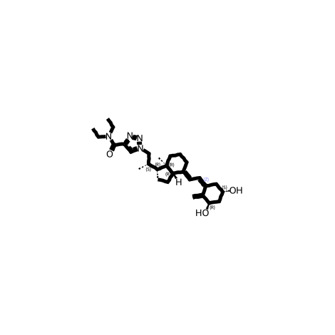 C=C1/C(=C\C=C2CCC[C@]3(C)[C@@H]([C@H](C)Cn4cc(C(=O)N(CC)CC)nn4)CC[C@@H]23)C[C@H](O)C[C@H]1O